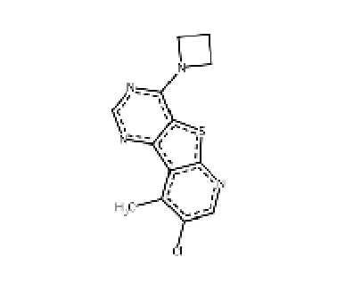 Cc1c(Cl)cnc2sc3c(N4CCC4)ncnc3c12